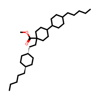 CCCCCC1CCC(C2CCC(CC[C@H]3CC[C@H](CCCCC)CC3)(C(=O)OC)CC2)CC1